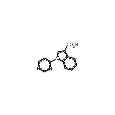 O=C(O)c1cn(-c2ccncn2)c2ccccc12